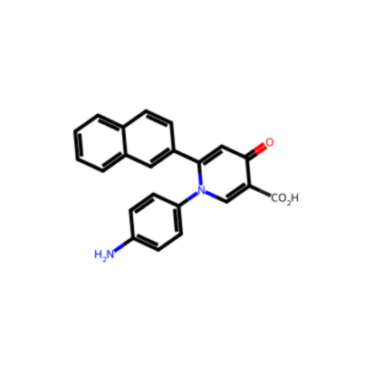 Nc1ccc(-n2cc(C(=O)O)c(=O)cc2-c2ccc3ccccc3c2)cc1